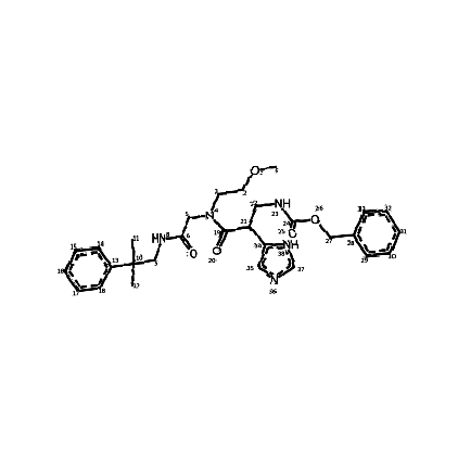 COCCN(CC(=O)NCC(C)(C)c1ccccc1)C(=O)C(CNC(=O)OCc1ccccc1)c1cnc[nH]1